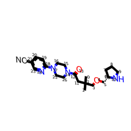 CC(C)(COC[C@@H]1CCCN1)CC(=O)N1CCN(c2ccc(C#N)cn2)CC1